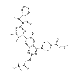 Cc1cc(N2C(=O)c3ccccc3C2=O)nc(-c2cc3nc(NCC(F)C(C)(C)O)nc(N4CCN(C(=O)OC(C)(C)C)CC4)c3cc2Cl)c1F